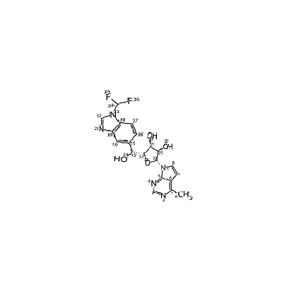 Cc1ncnc2c1ccn2[C@@H]1O[C@H](C(O)c2ccc3c(c2)ncn3C(F)F)[C@@H](O)[C@H]1O